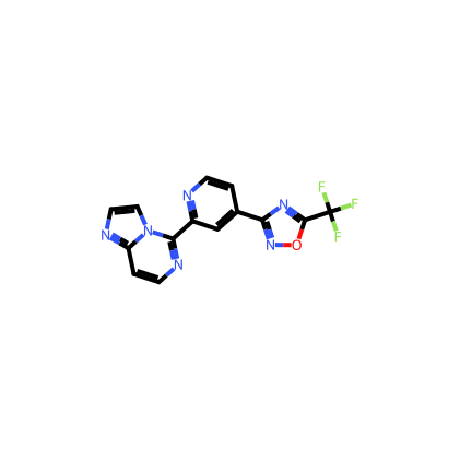 FC(F)(F)c1nc(-c2ccnc(-c3nccc4nccn34)c2)no1